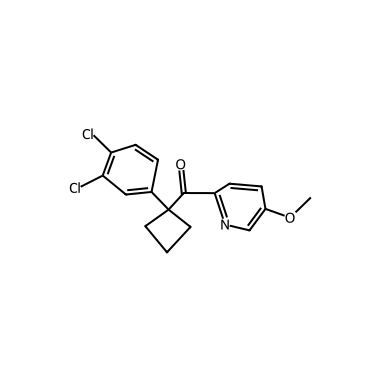 COc1ccc(C(=O)C2(c3ccc(Cl)c(Cl)c3)CCC2)nc1